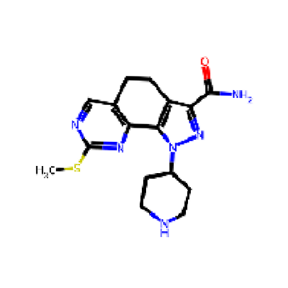 CSc1ncc2c(n1)-c1c(c(C(N)=O)nn1C1CCNCC1)CC2